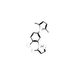 Cc1ccc(C)n1-c1ccc(Cl)c(-n2nccc2F)c1